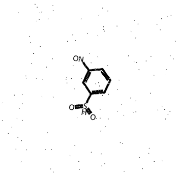 O=Nc1cccc([SH](=O)=O)c1